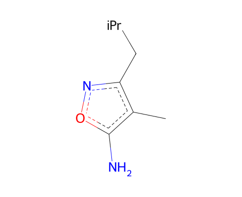 Cc1c(CC(C)C)noc1N